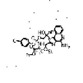 CCCCC(O)(COP(=O)(N[C@@H](C)C(=O)OC(C)C)Oc1ccc(Cl)cc1)n1c(COCC)nc2c(N)nc3ccccc3c21